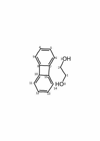 OCCO.c1ccc2c(c1)-c1ccccc1-2